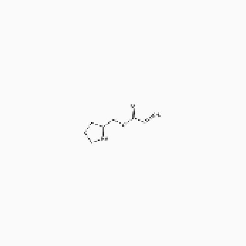 C=CC(=O)OCC1CCCN1